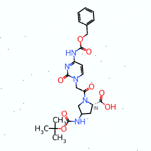 CC(C)(C)OC(=O)NC1C[C@@H](C(=O)O)N(C(=O)Cn2ccc(NC(=O)OCc3ccccc3)nc2=O)C1